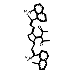 CC(=O)C(C(C)=O)=C1/C(=C/C=C(/C)c2cccc3cccc(N)c23)CC/C1=C\C=C(\N)c1cccc2cccc(C)c12